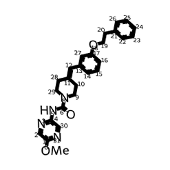 COc1cnc(NC(=O)N2CCC(=Cc3cccc(OCCc4ccccc4)c3)CC2)cn1